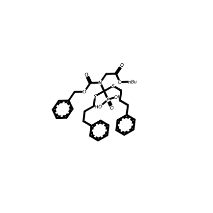 CCCCOC(=O)CN(C(=O)OCc1ccccc1)C(SCCCc1ccccc1)(SCCCc1ccccc1)P(=O)(O)O